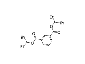 CCC(OC(=O)c1cccc(C(=O)OC(CC)C(C)C)c1)C(C)C